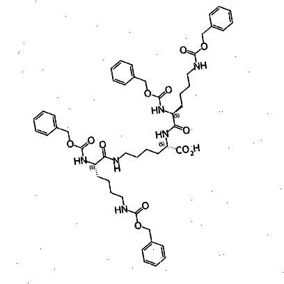 O=C(NCCCC[C@H](NC(=O)OCc1ccccc1)C(=O)NCCCC[C@H](NC(=O)[C@H](CCCCNC(=O)OCc1ccccc1)NC(=O)OCc1ccccc1)C(=O)O)OCc1ccccc1